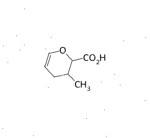 CC1CC=COC1C(=O)O